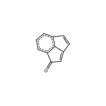 O=C1C=C2C=Cc3cccc1c32